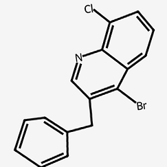 Clc1cccc2c(Br)c(Cc3ccccc3)cnc12